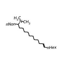 CCCCCCC=CCCCCCCCCCC(CCCCCCCCC)N(C)C